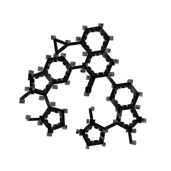 Cn1nccc1-c1c2cc(-c3nc4cccc(C5CC5)c4n(-c4ccc5nn(C)c(-c6ccnn6C)c5c4)c3=O)ccc2nn1C